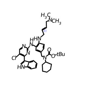 CN(C)C/C=C/CNc1ccc(CN(C(=O)OC(C)(C)C)C2CCCCC2)cc1Nc1ncc(Cl)c(-c2c[nH]c3ccccc23)n1